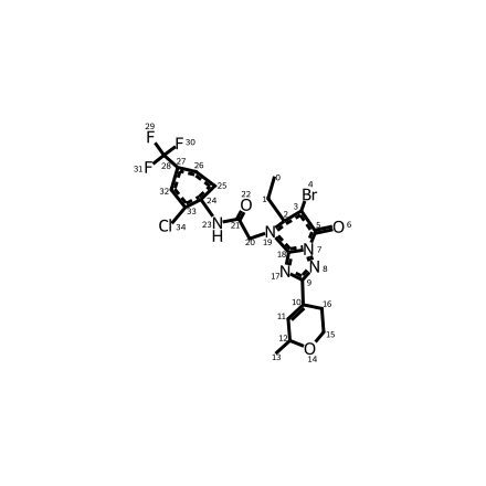 CCc1c(Br)c(=O)n2nc(C3=CC(C)OCC3)nc2n1CC(=O)Nc1ccc(C(F)(F)F)cc1Cl